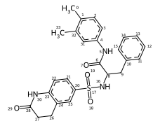 Cc1ccc(NC(=O)C(Cc2ccccc2)NS(=O)(=O)c2ccc3c(c2)CCC(=O)N3)cc1C